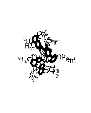 CCCCCc1ccc2c(c1)-c1cc(C(C)C)c3c4cc5c(cc4n4c3c1B(c1cc3c(cc1-4)C(C)(C)CCC3(C)C)N2c1ccc2c(c1)C(C)(C)CCC2(C)C)C(C)(C)CCC5(C)C